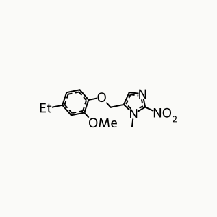 CCc1ccc(OCc2cnc([N+](=O)[O-])n2C)c(OC)c1